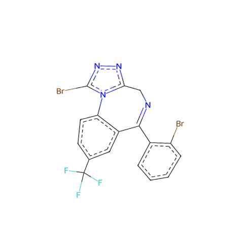 FC(F)(F)c1ccc2c(c1)C(c1ccccc1Br)=NCc1nnc(Br)n1-2